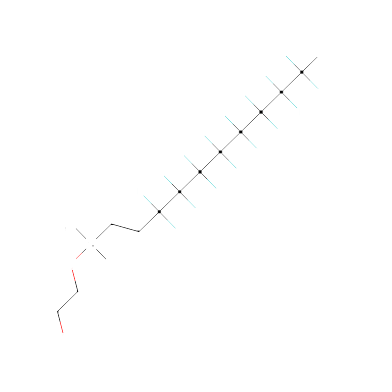 C[Si](C)(CCC(F)(F)C(F)(F)C(F)(F)C(F)(F)C(F)(F)C(F)(F)C(F)(F)C(F)(F)C(F)(F)F)OCC[O]